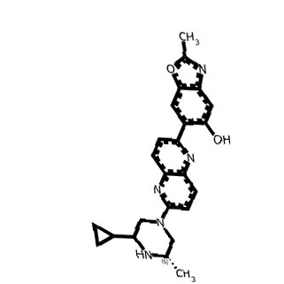 Cc1nc2cc(O)c(-c3ccc4nc(N5CC(C6CC6)N[C@@H](C)C5)ccc4n3)cc2o1